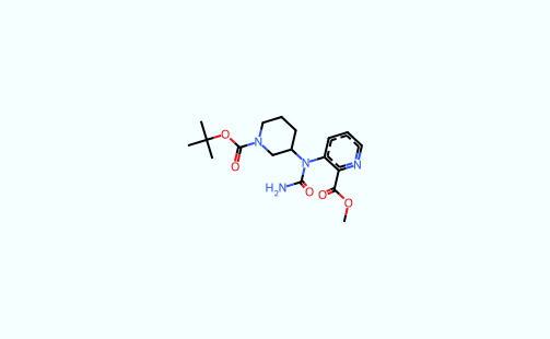 COC(=O)c1ncccc1N(C(N)=O)C1CCCN(C(=O)OC(C)(C)C)C1